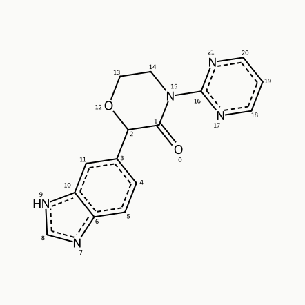 O=C1C(c2ccc3nc[nH]c3c2)OCCN1c1ncccn1